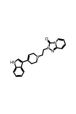 O=c1n(CCN2CC=C(c3c[nH]c4ccccc34)CC2)nc2ccccn12